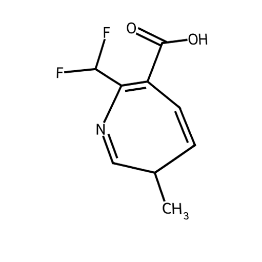 CC1C=CC(C(=O)O)=C(C(F)F)N=C1